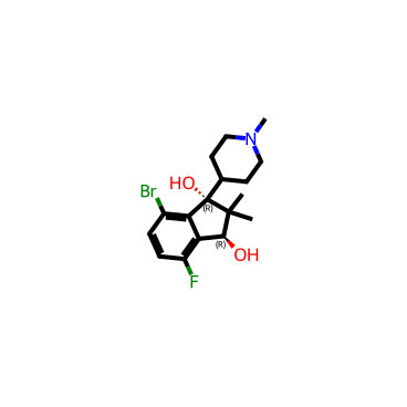 CN1CCC([C@]2(O)c3c(Br)ccc(F)c3[C@H](O)C2(C)C)CC1